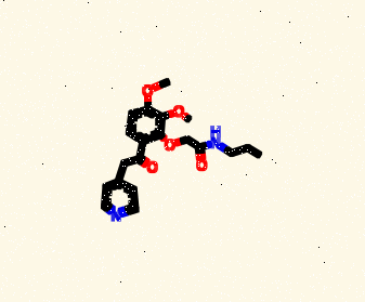 CCCNC(=O)COc1c(C(=O)Cc2ccncc2)ccc(OC)c1OC